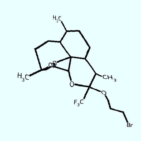 CC1CCC2C(C)C(OCCBr)(C(F)(F)F)OC3OC4(C)CCC1C32OO4